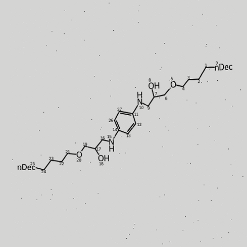 CCCCCCCCCCCCCCOCC(O)CNc1ccc(NCC(O)COCCCCCCCCCCCCCC)cc1